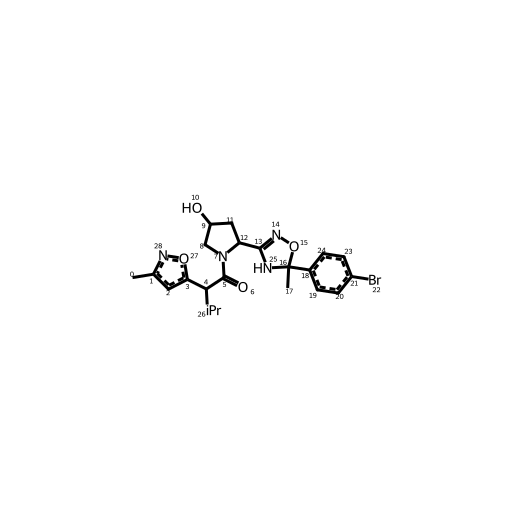 Cc1cc(C(C(=O)N2CC(O)CC2C2=NOC(C)(c3ccc(Br)cc3)N2)C(C)C)on1